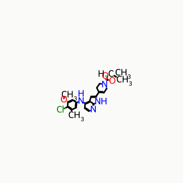 COc1cc(Nc2ccnc3[nH]c(C4=CCN(C(=O)OC(C)(C)C)CC4)cc23)cc(C)c1Cl